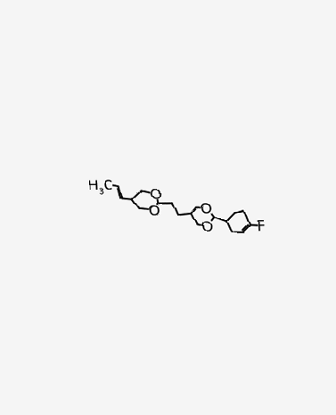 CC=CC1COC(CCC2COC(C3CC=C(F)CC3)OC2)OC1